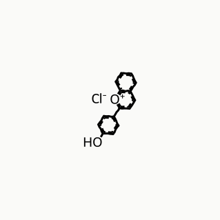 Oc1ccc(-c2ccc3ccccc3[o+]2)cc1.[Cl-]